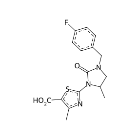 Cc1nc(N2C(=O)N(Cc3ccc(F)cc3)CC2C)sc1C(=O)O